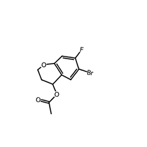 CC(=O)OC1CCOc2cc(F)c(Br)cc21